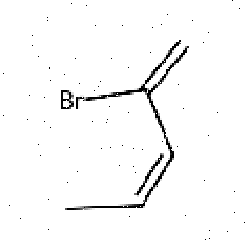 C=C(Br)/C=C\C